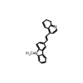 Cn1c2ccccc2c2cc(/C=C/c3ccnc4c3C=CCC4)ccc21